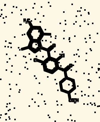 Cc1cn(C(=O)c2c(Cl)ccc(C(=O)N3CCC(C(=O)O)CC3)c2Cl)c2c(C)cc(C(F)(F)F)cc12